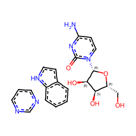 Nc1ccn([C@@H]2O[C@H](CO)[C@@H](O)[C@H]2O)c(=O)n1.c1ccc2[nH]ccc2c1.c1cncnc1